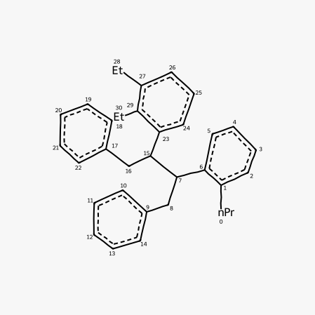 CCCc1ccccc1C(Cc1ccccc1)C(Cc1ccccc1)c1cccc(CC)c1CC